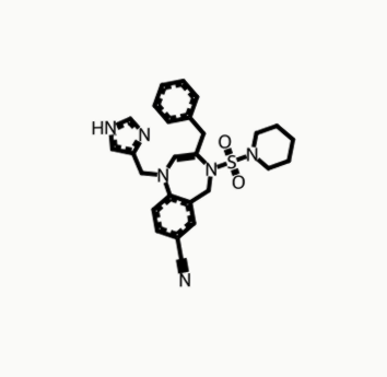 N#Cc1ccc2c(c1)CN(S(=O)(=O)N1CCCCC1)C(Cc1ccccc1)=CN2Cc1c[nH]cn1